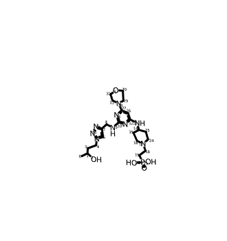 CC(O)CCn1cc(CNc2nc(NC3CCN(CCP(=O)(O)O)CC3)cc(N3CCOCC3)n2)nn1